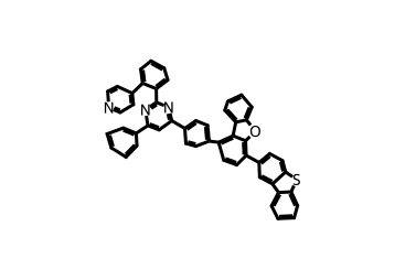 c1ccc(-c2cc(-c3ccc(-c4ccc(-c5ccc6sc7ccccc7c6c5)c5oc6ccccc6c45)cc3)nc(-c3ccccc3-c3ccncc3)n2)cc1